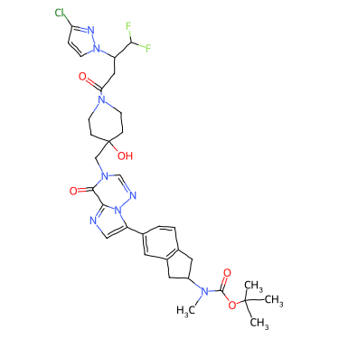 CN(C(=O)OC(C)(C)C)C1Cc2ccc(-c3cnc4c(=O)n(CC5(O)CCN(C(=O)CC(C(F)F)n6ccc(Cl)n6)CC5)cnn34)cc2C1